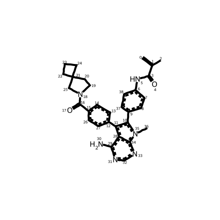 C=C(C)C(=O)Nc1ccc(-c2c(-c3ccc(C(=O)N4CCC5(CCC5)C4)cc3)c3c(N)ncnc3n2C)cc1